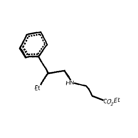 CCOC(=O)CCNCC(CC)c1ccccc1